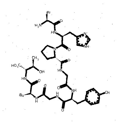 CC[C@H](C)[C@H](NC(=O)CNC(=O)[C@H](Cc1ccc(O)cc1)NC(=O)CNC(=O)[C@@H]1CCCN1C(=O)[C@H](Cc1c[nH]cn1)NC(=O)[C@@H](N)C(C)C)C(=O)N[C@H](C(=O)O)[C@@H](C)O